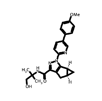 COc1ccc(-c2ccc(-n3nc(C(=O)NC(C)(C)CO)c4c3[C@H]3C[C@H]3C4)nc2)cc1